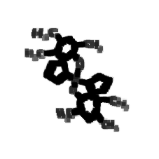 Cc1cc(C)c([O][Zr]([O]c2cc(C)c(C)cc2C)([C]2=CC=CC2)[C]2=CC=CC2)cc1C